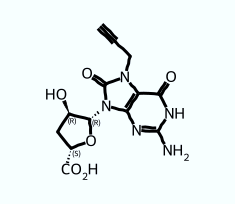 C#CCn1c(=O)n([C@@H]2O[C@H](C(=O)O)C[C@H]2O)c2nc(N)[nH]c(=O)c21